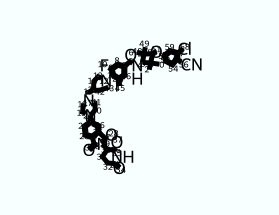 CC1(C)C(NC(=O)c2cc(F)c(N3CCC(CN4CCN(c5ccc6c(c5)C(=O)N(C5CCC(=O)NC5=O)C6=O)CC4)CC3)c(F)c2)C(C)(C)C1Oc1ccc(C#N)c(Cl)c1